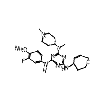 COc1ccc(Nc2nc(NC3C=CCCCC3)nc(N(C)C3CCN(C)CC3)n2)cc1F